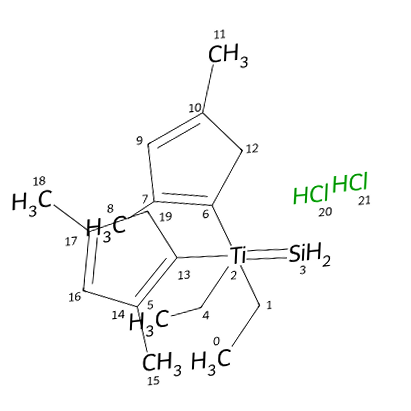 C[CH2][Ti](=[SiH2])([CH2]C)([C]1=C(C)C=C(C)C1)[C]1=C(C)C=C(C)C1.Cl.Cl